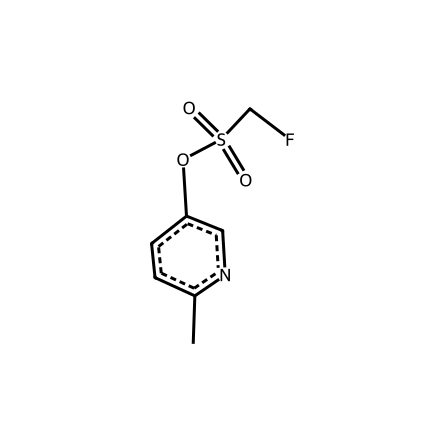 Cc1ccc(OS(=O)(=O)CF)cn1